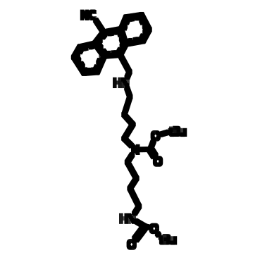 CC(C)(C)OC(=O)NCCCCN(CCCCNCc1c2ccccc2c(C#N)c2ccccc12)C(=O)OC(C)(C)C